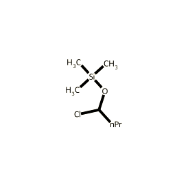 CCCC(Cl)O[Si](C)(C)C